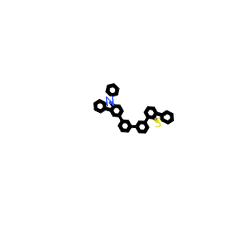 c1ccc(-n2c3ccccc3c3cc(-c4cccc(-c5cccc(-c6cccc7c6sc6ccccc67)c5)c4)ccc32)cc1